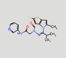 Cc1cc2sc(F)cc2n1/C(=N\N(C=O)CC(=O)Nc1cccnc1)C(C)C